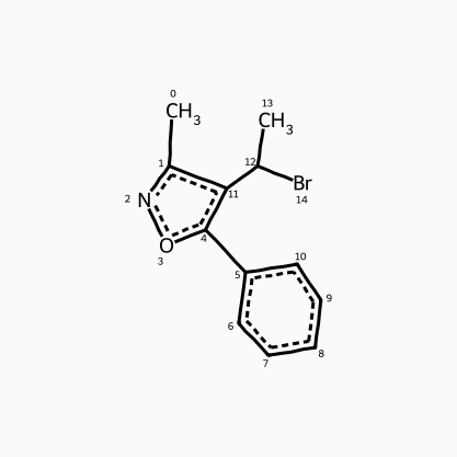 Cc1noc(-c2ccccc2)c1C(C)Br